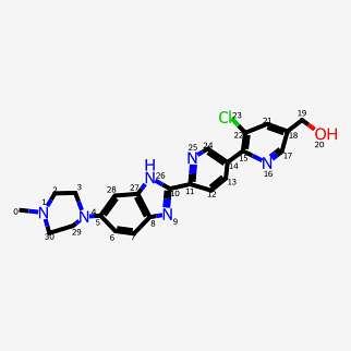 CN1CCN(c2ccc3nc(-c4ccc(-c5ncc(CO)cc5Cl)cn4)[nH]c3c2)CC1